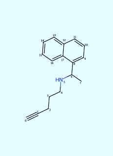 C#CCCCNC(C)c1cccc2ccccc12